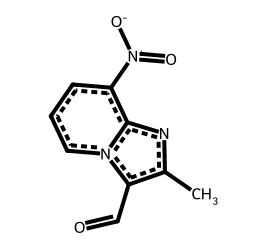 Cc1nc2c([N+](=O)[O-])cccn2c1C=O